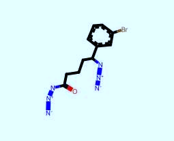 [N-]=[N+]=NC(=O)CCCC(N=[N+]=[N-])c1cccc(Br)c1